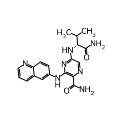 CC(C)[C@@H](Nc1cnc(C(N)=O)c(Nc2ccc3ncccc3c2)n1)C(N)=O